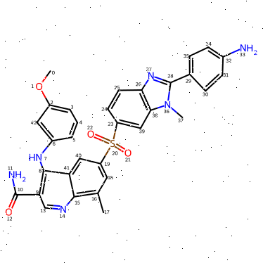 COc1cccc(Nc2c(C(N)=O)cnc3c(C)cc(S(=O)(=O)c4ccc5nc(-c6ccc(N)cc6)n(C)c5c4)cc23)c1